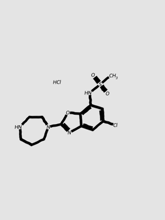 CS(=O)(=O)Nc1cc(Cl)cc2nc(N3CCCNCC3)oc12.Cl